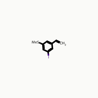 C=[C]c1cc(I)cc(SC)c1